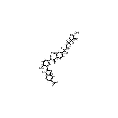 CN(C)c1ccc2[nH]c(-c3cc(NC(=O)c4ccc(S(=O)(=O)NCC(C)(C)C(C)(C)C(=O)NO)cc4Cl)ccc3Cl)nc2c1